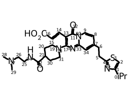 CC(C)c1csc(CCc2ccn3c(=O)c(/C=C/C(=O)O)c(N4CCC(C(=O)NCCN(C)C)CC4)nc3c2)n1